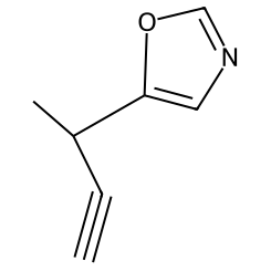 C#CC(C)c1cnco1